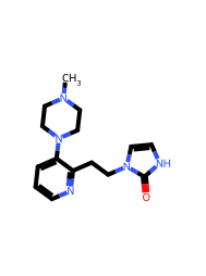 CN1CCN(c2cccnc2CCn2cc[nH]c2=O)CC1